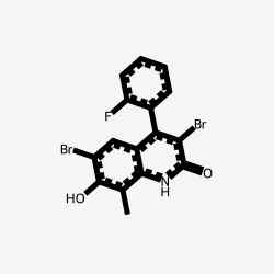 Cc1c(O)c(Br)cc2c(-c3ccccc3F)c(Br)c(=O)[nH]c12